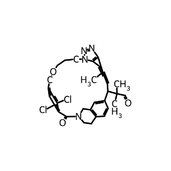 Cc1c2ccc3c1nnn3CCCOCc1cc(Cl)c(c(Cl)c1)C(=O)N1CCc3ccc(cc3C1)C2C(C)(C)C=O